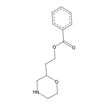 O=C(OCCC1CNCCO1)c1ccccc1